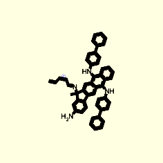 C=C/C=C\C=NC1(C)c2cc(N)ccc2-c2cc3c(Nc4ccc(-c5ccccc5)cc4)c4ccccc4c(Nc4ccc(-c5ccccc5)cc4)c3cc21